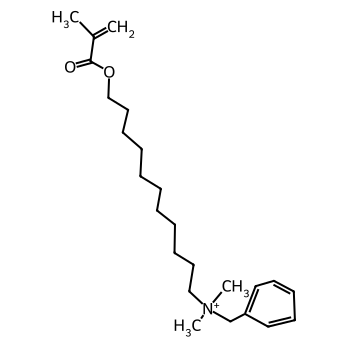 C=C(C)C(=O)OCCCCCCCCCCC[N+](C)(C)Cc1ccccc1